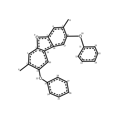 Cc1cc2oc3cc(C)c(Oc4ccccc4)cc3c2cc1Oc1ccccc1